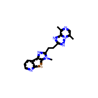 Cc1ncc(C)n2nc(CCc3nc4c5cccnc5sc4n3C)nc12